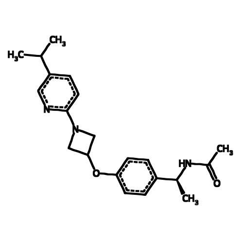 CC(=O)N[C@@H](C)c1ccc(OC2CN(c3ccc(C(C)C)cn3)C2)cc1